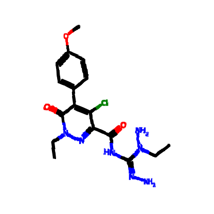 CCN(N)/C(=N\N)NC(=O)c1nn(CC)c(=O)c(-c2ccc(OC)cc2)c1Cl